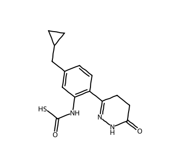 O=C(S)Nc1cc(CC2CC2)ccc1C1=NNC(=O)CC1